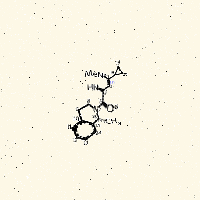 CN/C(=C\C(=N)C(=O)N1CCc2ccccc2[C@H]1C)C1CC1